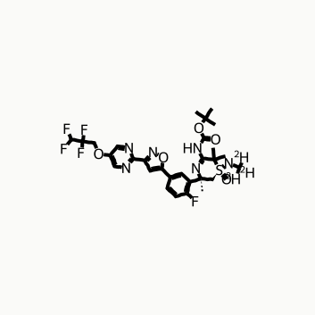 [2H]C([2H])([2H])N=[S@@]1(=O)C[C@@](C)(c2cc(-c3cc(-c4ncc(OCC(F)(F)C(F)F)cn4)no3)ccc2F)N=C(NC(=O)OC(C)(C)C)C1(C)C